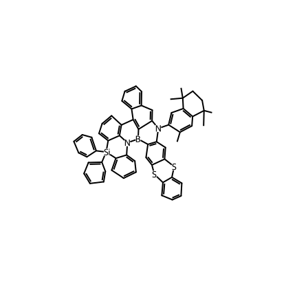 Cc1cc2c(cc1N1c3cc4c(cc3B3c5c1cc1ccccc1c5-c1cccc5c1N3c1ccccc1[Si]5(c1ccccc1)c1ccccc1)Sc1ccccc1S4)C(C)(C)CCC2(C)C